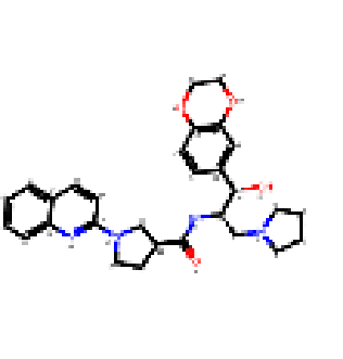 O=C(N[C@H](CN1CCCC1)[C@H](O)c1ccc2c(c1)OCCO2)C1CCN(c2ccc3ccccc3n2)C1